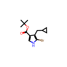 CC(C)(C)OC(=O)c1c[nH]c(Br)c1CC1CC1